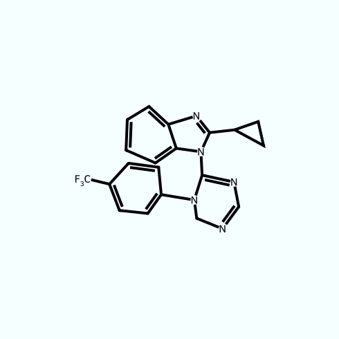 FC(F)(F)c1ccc(N2CN=CN=C2n2c(C3CC3)nc3ccccc32)cc1